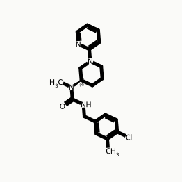 Cc1cc(CNC(=O)N(C)[C@@H]2CCCN(c3ccccn3)C2)ccc1Cl